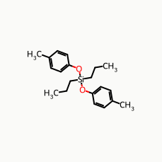 CCC[Si](CCC)(Oc1ccc(C)cc1)Oc1ccc(C)cc1